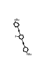 CCCCc1ccc(C#Cc2ccc(C#Cc3ccc(CCCC)cc3)c(F)c2)cc1